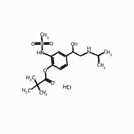 CC(C)NCC(O)c1ccc(OC(=O)C(C)(C)C)c(NS(C)(=O)=O)c1.Cl